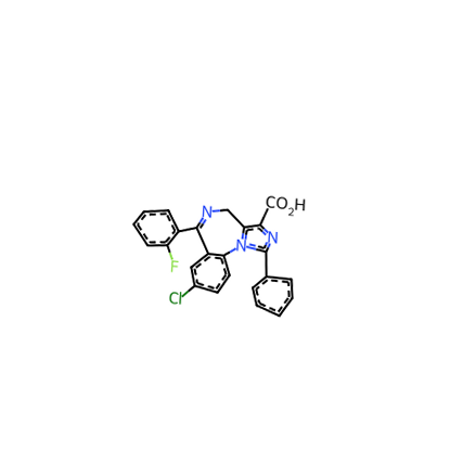 O=C(O)c1nc(-c2ccccc2)n2c1CN=C(c1ccccc1F)c1cc(Cl)ccc1-2